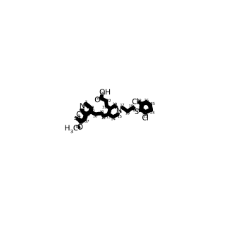 COc1ccc2nccc(CCCC3CCN(CCCSc4c(Cl)cccc4Cl)CC3CCC(=O)O)c2c1